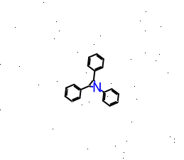 c1ccc(C2C(c3ccccc3)N2c2ccccc2)cc1